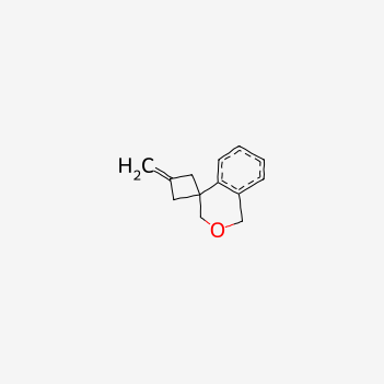 C=C1CC2(COCc3ccccc32)C1